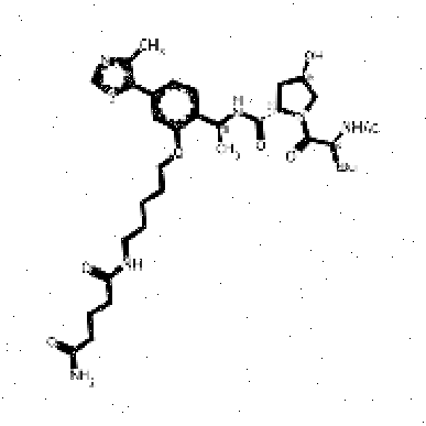 CC(=O)N[C@H](C(=O)N1C[C@H](O)C[C@H]1C(=O)N[C@@H](C)c1ccc(-c2scnc2C)cc1OCCCCCNC(=O)CCCC(N)=O)C(C)(C)C